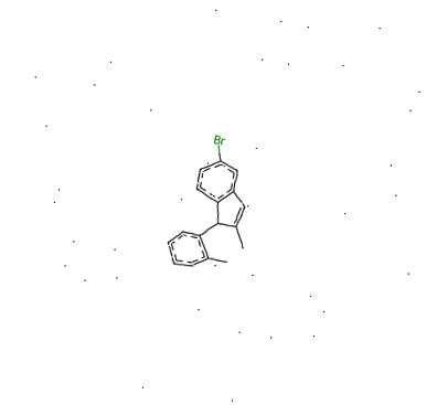 CC1=Cc2cc(Br)ccc2C1c1ccccc1C